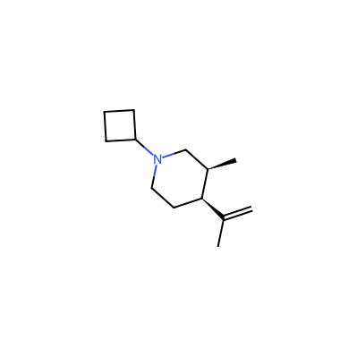 C=C(C)[C@H]1CCN(C2CCC2)C[C@H]1C